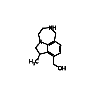 CC1CN2CCNCc3ccc(CO)c1c32